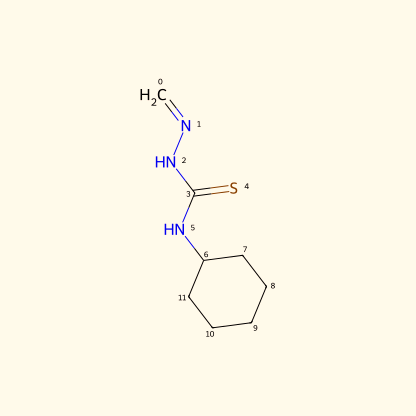 C=NNC(=S)NC1CCCCC1